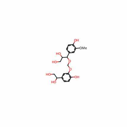 COc1cc(C(OCOc2cc(C(O)CO)ccc2O)C(O)CO)ccc1O